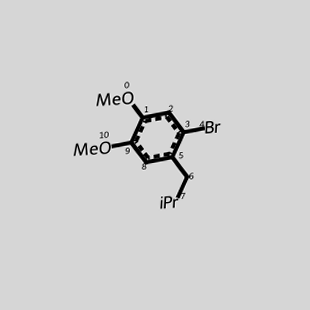 COc1cc(Br)c(CC(C)C)cc1OC